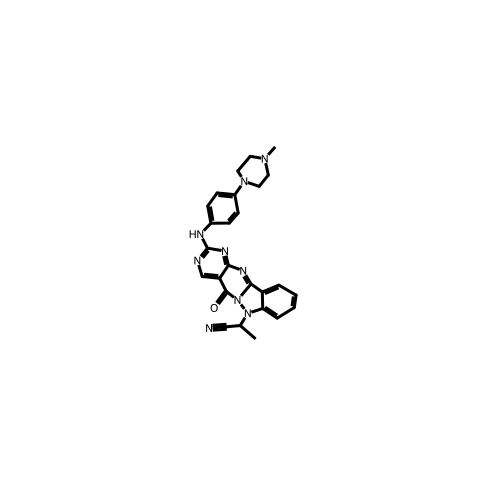 CC(C#N)n1c2ccccc2c2nc3nc(Nc4ccc(N5CCN(C)CC5)cc4)ncc3c(=O)n21